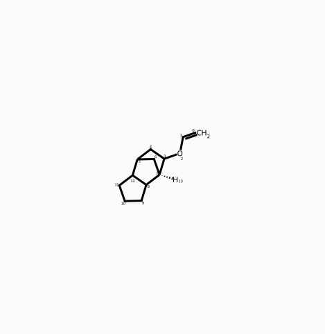 C=COC1CC2C[C@@H]1C1CCCC21